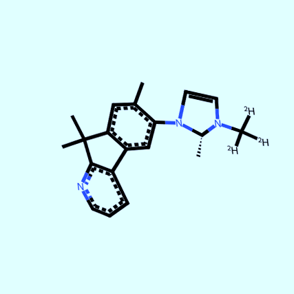 [2H]C([2H])([2H])N1C=CN(c2cc3c(cc2C)C(C)(C)c2ncccc2-3)[C@H]1C